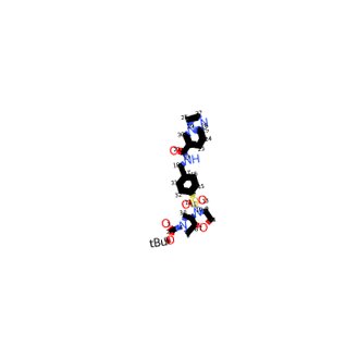 CC(C)(C)OC(=O)N1CC2OCCN(S(=O)(=O)c3ccc(CNC(=O)c4ccc5nccn5c4)cc3)C2C1